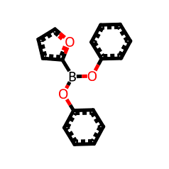 c1ccc(OB(Oc2ccccc2)c2ccco2)cc1